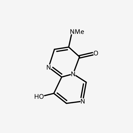 CNc1cnc2c(O)cncn2c1=O